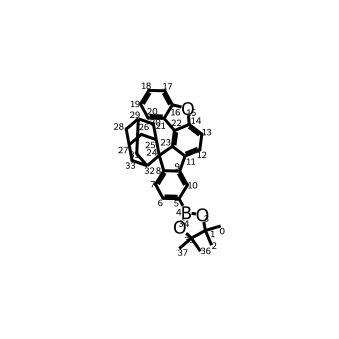 CC1(C)OB(c2ccc3c(c2)-c2ccc4oc5ccccc5c4c2C32C3CC4CC(C3)CC2C4)OC1(C)C